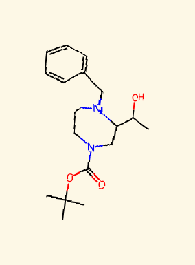 CC(O)C1CN(C(=O)OC(C)(C)C)CCN1Cc1ccccc1